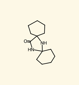 O=C1NC2(CCCCC2)NC12CCCCC2